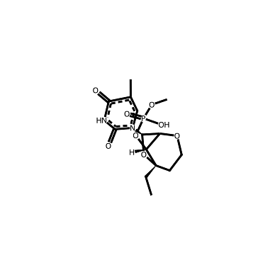 CC[C@@]12CCOC([C@H](n3cc(C)c(=O)[nH]c3=O)O1)[C@H]2OP(=O)(O)OC